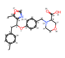 Cc1ccc(CC(Oc2ccc(CN3CCOCC3C(=O)O)cc2)c2ncoc2C)cc1